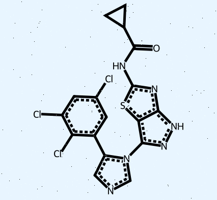 O=C(Nc1nc2[nH]nc(-n3cncc3-c3cc(Cl)cc(Cl)c3Cl)c2s1)C1CC1